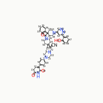 N#C[C@]1(CN2CCN(c3ccc([C@H]4CCC(=O)NC4=O)cc3)CC2)CC12CCN(C(=O)C1(c3ccccc3)CCN(c3cnnc(-c4ccccc4O)c3)CC1)CC2